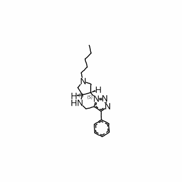 CCCCCN1C[C@H]2NCc3c(-c4ccccc4)nnn3[C@H]2C1